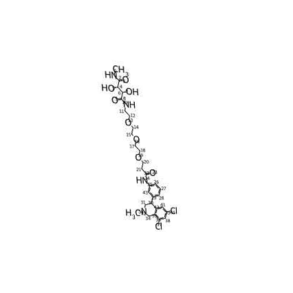 CNC(=O)[C@H](O)[C@@H](O)C(=O)NCCOCCOCCOCCC(=O)Nc1cccc(C2CN(C)Cc3c(Cl)cc(Cl)cc32)c1